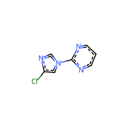 Clc1cn(-c2ncccn2)cn1